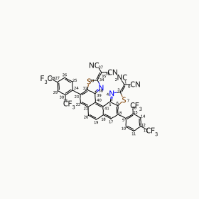 N#CC(C#N)=c1nc2c(s1)c(-c1ccc(C(F)(F)F)cc1C(F)(F)F)cc1ccc3cc(-c4ccc(C(F)(F)F)cc4C(F)(F)F)c4sc(=C(C#N)C#N)nc4c3c12